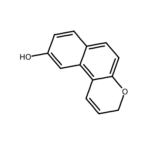 Oc1ccc2ccc3c(c2c1)C=CCO3